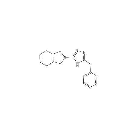 C1=CCC2CN(c3nnc(Cc4ccccc4)[nH]3)CC2C1